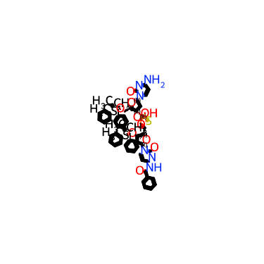 CC(C)(C)[Si](OC[C@H]1O[C@@H](n2ccc(N)nc2=O)C[C@@H]1O[P@](O)(=S)OC[C@H]1O[C@@H](n2ccc(NC(=O)c3ccccc3)nc2=O)C[C@@H]1O[Si](c1ccccc1)(c1ccccc1)C(C)(C)C)(c1ccccc1)c1ccccc1